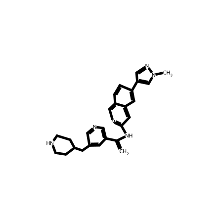 C=C(Nc1cc2cc(-c3cnn(C)c3)ccc2cn1)c1cncc(CC2CCNCC2)c1